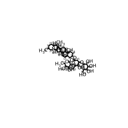 CC1O[C@H](O[C@]2(O[C@H]3CC[C@@]4(C)C(=CC[C@H]5[C@@H]6C[C@H]7[C@H]([C@H](C)[C@H]8CC[C@H](C)CN87)[C@@]6(C)CC[C@@H]54)C3)C[C@@H](O[C@@H]3OC(CO)[C@@H](O)[C@@H](O)C3O)[C@@H](O)C(CO)O2)C(O)[C@@H](O)[C@H]1O